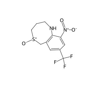 O=[N+]([O-])c1cc(C(F)(F)F)cc2c1NCCC[S+]([O-])C2